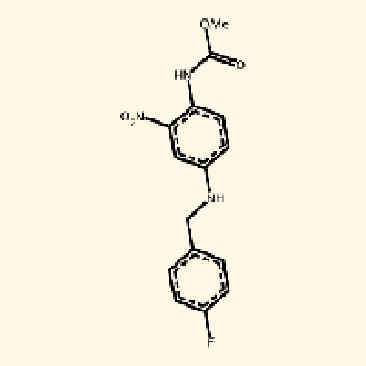 COC(=O)Nc1ccc(NCc2ccc(F)cc2)cc1[N+](=O)[O-]